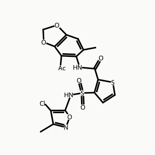 CC(=O)c1c(NC(=O)c2sccc2S(=O)(=O)Nc2onc(C)c2Cl)c(C)cc2c1OCO2